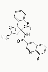 CC(C)CC(C)(Cc1ccccc1F)NC(=O)c1cnc2c(F)cccc2c1